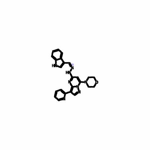 C(=N/Nc1cc(N2CCOCC2)n2ncc(-c3ccccn3)c2n1)/c1c[nH]c2ccccc12